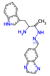 C=C(N/N=C/c1ccc2nccnc2c1)C(N)Cc1c[nH]c2ccccc12